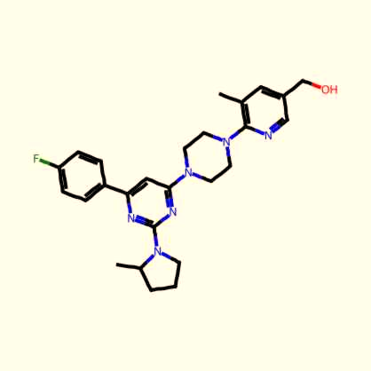 Cc1cc(CO)cnc1N1CCN(c2cc(-c3ccc(F)cc3)nc(N3CCCC3C)n2)CC1